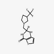 O=C1NC(Br)(CN2CCC(C(F)(F)F)C2)Nc2ccsc21